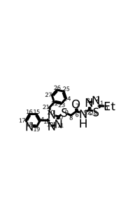 CCc1nnc(NC(=O)CSc2nnc(-c3cccnc3)n2Cc2ccccc2)s1